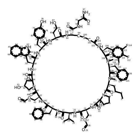 CCCC[C@H]1C(=O)N2CCC[C@@H]2C(=O)N[C@@H](COC=O)C(=O)N[C@@H](C(C)C)C(=O)N(C)[C@@H](Cc2ccccc2)C(=O)N[C@@H](COC=O)C(=O)N2C[C@H](O)C[C@@H]2C(=O)N[C@@H](Cc2c[nH]c3ccccc23)C(=O)N[C@@H](Cc2ccc(O)cc2)C(=O)N[C@@H](CCO)C(=O)N[C@H](C(=O)NCC(N)=O)CSCC(=O)N[C@@H](Cc2cc(F)c(F)c(F)c2)C(=O)N(C)[C@@H](Cc2ccccc2)C(=O)N1C